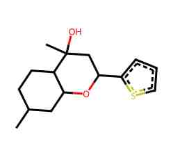 CC1CCC2C(C1)OC(c1cccs1)CC2(C)O